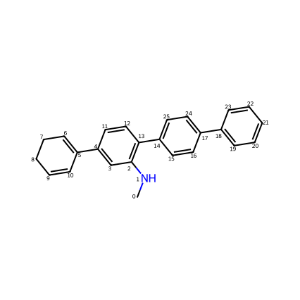 CNc1cc(C2=CCCC=C2)ccc1-c1ccc(-c2ccccc2)cc1